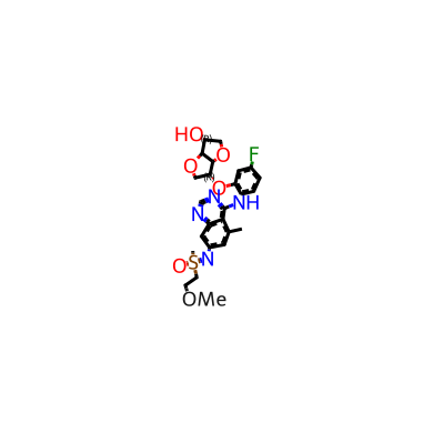 COCCS(C)(=O)=Nc1cc(C)c2c(Nc3ccc(F)cc3O[C@@H]3COC4C3OC[C@H]4O)ncnc2c1